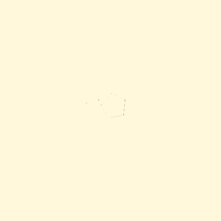 IC1CC[C@@H](I)P1